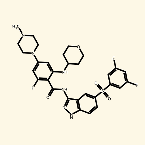 CN1CCN(c2cc(F)c(C(=O)Nc3n[nH]c4ccc(S(=O)(=O)c5cc(F)cc(F)c5)cc34)c(NC3CCOCC3)c2)CC1